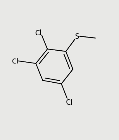 CSc1cc(Cl)cc(Cl)c1Cl